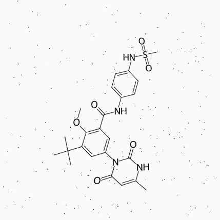 COc1c(C(=O)Nc2ccc(NS(C)(=O)=O)cc2)cc(-n2c(=O)cc(C)[nH]c2=O)cc1C(C)(C)C